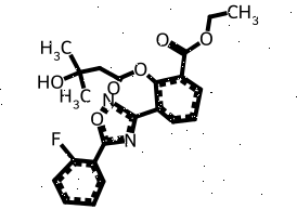 CCOC(=O)c1cccc(-c2noc(-c3ccccc3F)n2)c1OC(=O)CC(C)(C)O